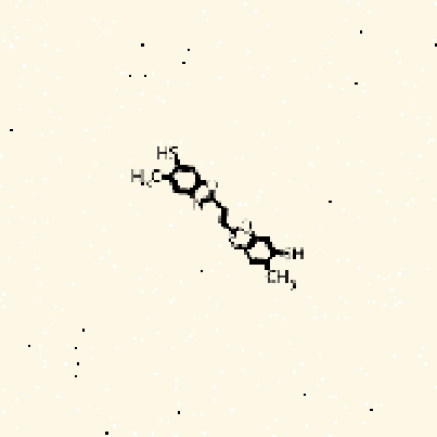 Cc1cc2nc(C=Cc3nc4cc(C)c(S)cc4o3)oc2cc1S